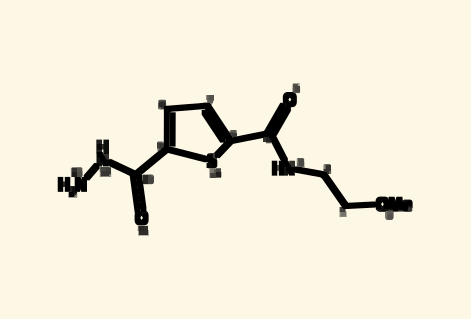 COCCNC(=O)c1ccc(C(=O)NN)s1